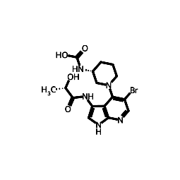 C[C@H](O)C(=O)Nc1c[nH]c2ncc(Br)c(N3CCC[C@@H](NC(=O)O)C3)c12